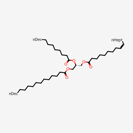 CCCCCCC/C=C\CCCCCCCC(=O)OC[C@H](COC(=O)CCCCCCCCCCCCCCCCCCCCC)OC(=O)CCCCCCCCCCCCCCCCC